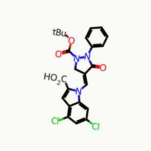 CC(C)(C)OC(=O)N1C/C(=C\n2c(C(=O)O)cc3c(Cl)cc(Cl)cc32)C(=O)N1c1ccccc1